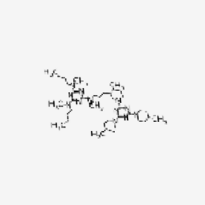 CCCCN(C)c1nc(N(C)CCCC)nc(N(C)CCCC2CN(c3nc(N4CCC(C)CC4)nc(N4CCC(C)CC4)n3)CCC2C)n1